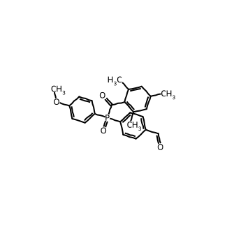 COc1ccc(P(=O)(C(=O)c2c(C)cc(C)cc2C)c2ccc(C=O)cc2)cc1